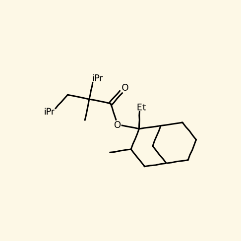 CCC1(OC(=O)C(C)(CC(C)C)C(C)C)C(C)CC2CCCC1C2